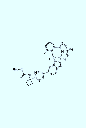 [2H]C([2H])([2H])N1C(=O)c2cccc(C)c2[C@H]2C[C@@H]1c1nn3ccc(-c4cnc(C5(NC(=O)OC(C)(C)C)CCC5)nc4)cc3c12